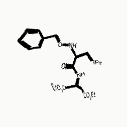 CCOC(=O)C(NC(=O)C(CC(C)C)NOCc1ccccc1)C(=O)OCC